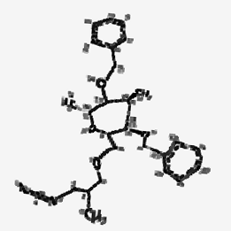 CC(CN=[N+]=[N-])COCC1O[C@H](C)C(OCc2ccccc2)[C@@H](C)[C@H]1OCc1ccccc1